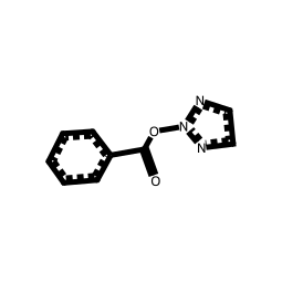 O=C(On1nccn1)c1ccccc1